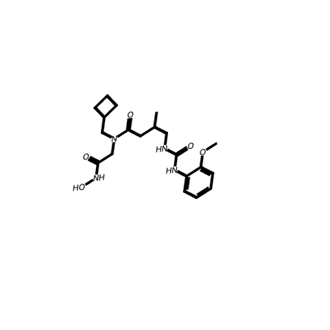 COc1ccccc1NC(=O)NCC(C)CC(=O)N(CC(=O)NO)CC1CCC1